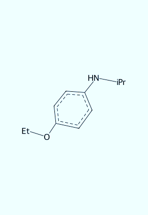 CCOc1ccc(NC(C)C)cc1